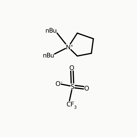 CCCC[N+]1(CCCC)CCCC1.O=S(=O)([O-])C(F)(F)F